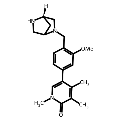 COc1cc(-c2cn(C)c(=O)c(C)c2C)ccc1CN1C[C@@H]2CC1CN2